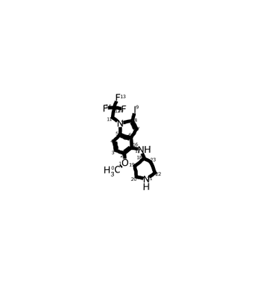 COc1ccc2c(cc(I)n2CC(F)(F)F)c1NC1CCNCC1